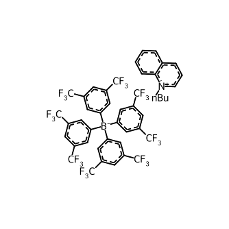 CCCC[n+]1cccc2ccccc21.FC(F)(F)c1cc([B-](c2cc(C(F)(F)F)cc(C(F)(F)F)c2)(c2cc(C(F)(F)F)cc(C(F)(F)F)c2)c2cc(C(F)(F)F)cc(C(F)(F)F)c2)cc(C(F)(F)F)c1